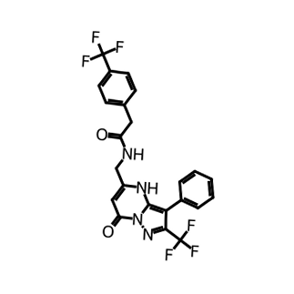 O=C(Cc1ccc(C(F)(F)F)cc1)NCc1cc(=O)n2nc(C(F)(F)F)c(-c3ccccc3)c2[nH]1